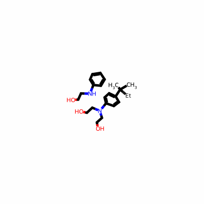 CCC(C)(C)c1ccc(N(CCO)CCO)cc1.OCCNc1ccccc1